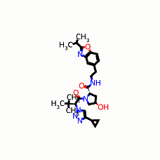 CC(C)c1nc2cc(CCNC(=O)[C@@H]3C[C@@H](O)CN3C(=O)[C@@H](n3cc(C4CC4)nn3)C(C)(C)C)ccc2o1